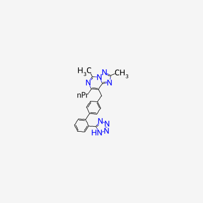 CCCc1nc(C)n2nc(C)nc2c1Cc1ccc(-c2ccccc2-c2nnn[nH]2)cc1